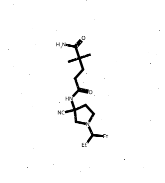 CCC(CC)N1CCC(C#N)(NC(=O)[CH]CC(C)(C)C(N)=O)C1